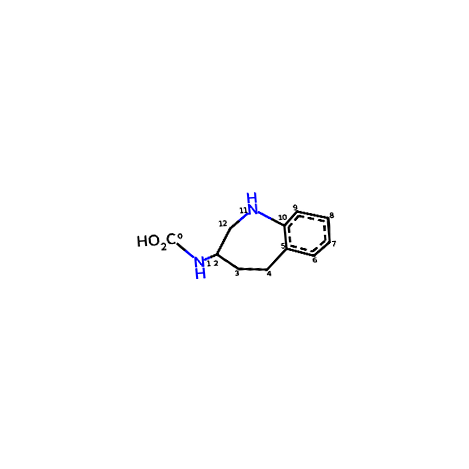 O=C(O)NC1CCc2ccccc2NC1